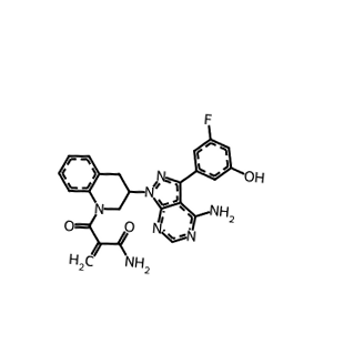 C=C(C(N)=O)C(=O)N1CC(n2nc(-c3cc(O)cc(F)c3)c3c(N)ncnc32)Cc2ccccc21